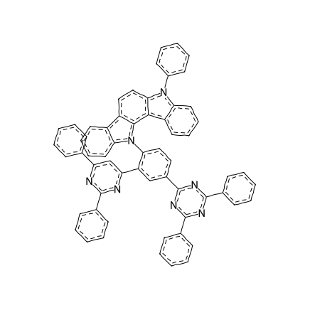 c1ccc(-c2cc(-c3cc(-c4nc(-c5ccccc5)nc(-c5ccccc5)n4)ccc3-n3c4ccccc4c4ccc5c(c6ccccc6n5-c5ccccc5)c43)nc(-c3ccccc3)n2)cc1